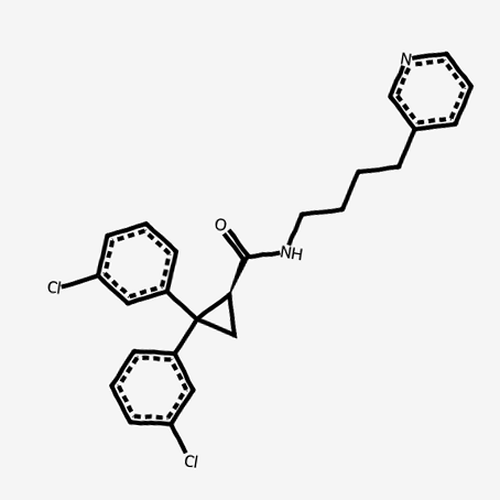 O=C(NCCCCc1cccnc1)[C@H]1CC1(c1cccc(Cl)c1)c1cccc(Cl)c1